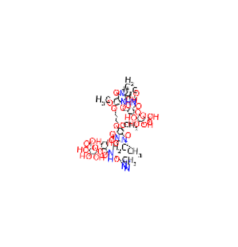 C=C(CC)CN1CC(O)N(C(=O)OCc2ccc(O[C@@H]3O[C@H](C(=O)O)[C@@H](O)[C@H](O)[C@H]3O)c(C(=O)NCCOCC[N+]3(C)C=CN=N3)c2)c2cc(OCCCCCOc3cc4c(cc3OC)C(=O)N3CC(=C)C[C@H]3C(O)N4C(=O)OCc3ccc(O[C@@H]4O[C@H](C(=O)O)[C@@H](O)[C@H](O)[C@H]4O)c(C(=O)NCCOC)c3)c(OC)cc2C1=O